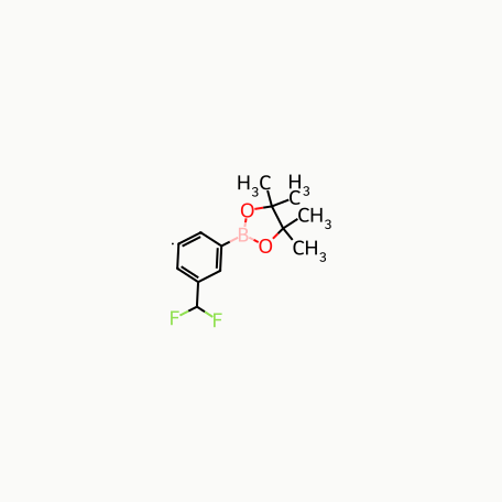 CC1(C)OB(c2c[c]cc(C(F)F)c2)OC1(C)C